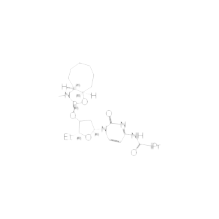 CC[C@H]1O[C@@H](n2ccc(NC(=O)C(C)C)nc2=O)CC1O[P@]1O[C@@H]2CCCCCC[C@H]2N1C